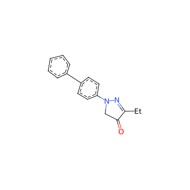 CCC1=NN(c2ccc(-c3ccccc3)cc2)CC1=O